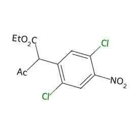 CCOC(=O)C(C(C)=O)c1cc(Cl)c([N+](=O)[O-])cc1Cl